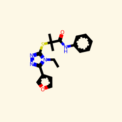 CCn1c(SC(C)(C)C(=O)Nc2ccccc2)nnc1-c1ccoc1